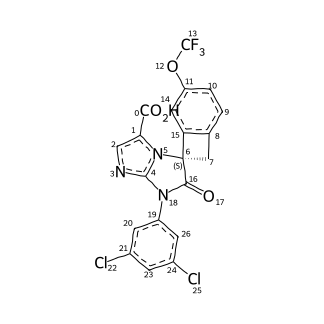 O=C(O)c1cnc2n1[C@]1(Cc3ccc(OC(F)(F)F)cc31)C(=O)N2c1cc(Cl)cc(Cl)c1